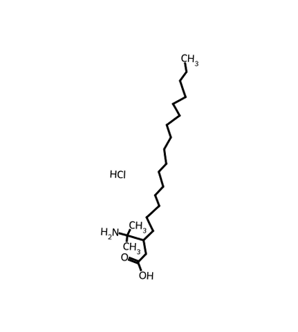 CCCCCCCCCCCCCCCCC(CC(=O)O)C(C)(C)N.Cl